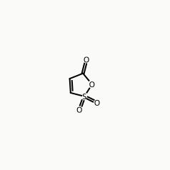 O=C1C=CS(=O)(=O)O1